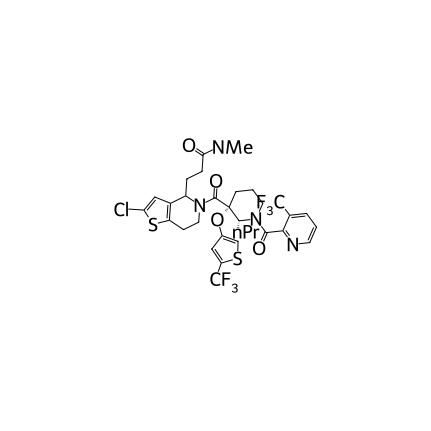 CCC[C@H]1N(C(=O)c2ncccc2C(F)(F)F)CCC[C@]1(Oc1csc(C(F)(F)F)c1)C(=O)N1CCc2sc(Cl)cc2C1CCC(=O)NC